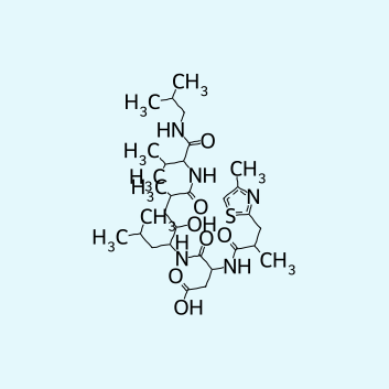 Cc1csc(CC(C)C(=O)NC(CC(=O)O)C(=O)NC(CC(C)C)C(O)CC(C)C(=O)NC(C(=O)NCC(C)C)C(C)C)n1